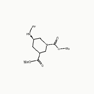 COC(=O)C1C[C@@H](NC(C)C)CN(C(=O)OC(C)(C)C)C1